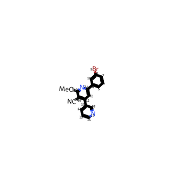 COc1nc(-c2cccc(Br)c2)cc(-c2cccnc2)c1C#N